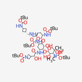 CN(C(=O)OC(C)(C)C)[C@@H]1[C@@H](O)[C@@H](O[C@@H]2[C@@H](O)[C@H](O[C@H]3OC(CNC[C@H]4C[C@H](NC(=O)OC(C)(C)C)C4)=CC[C@H]3NC(=O)OC(C)(C)C)[C@@H](NC(=O)OC(C)(C)C)C[C@H]2NC(=O)C(O)C2CN(C(=O)OC(C)(C)C)C2)OC[C@]1(C)O